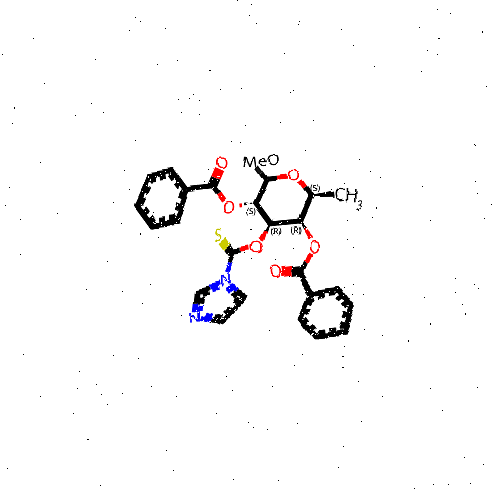 COC1O[C@@H](C)[C@@H](OC(=O)c2ccccc2)[C@@H](OC(=S)n2ccnc2)[C@@H]1OC(=O)c1ccccc1